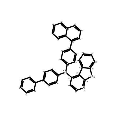 c1ccc(-c2ccc(N(c3ccc(-c4cccc5ccccc45)cc3)c3ccnc4oc5ccccc5c34)cc2)cc1